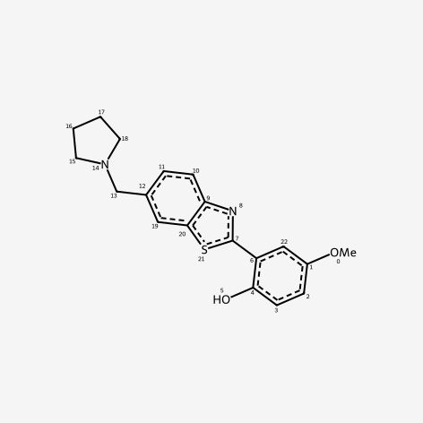 COc1ccc(O)c(-c2nc3ccc(CN4CCCC4)cc3s2)c1